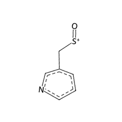 O=[S+]Cc1cccnc1